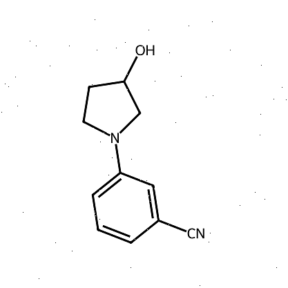 N#Cc1cccc(N2CCC(O)C2)c1